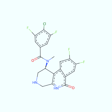 CN(C(=O)c1cc(F)c(Cl)c(F)c1)[C@@H]1CNCc2[nH]c(=O)c3cc(F)c(F)cc3c21